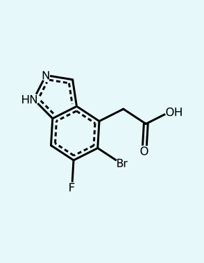 O=C(O)Cc1c(Br)c(F)cc2[nH]ncc12